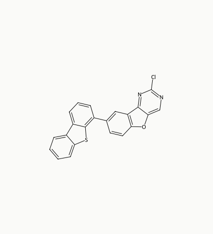 Clc1ncc2oc3ccc(-c4cccc5c4sc4ccccc45)cc3c2n1